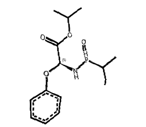 CC(C)OC(=O)[C@@H](N[PH](=O)C(C)C)Oc1ccccc1